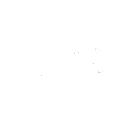 CCN(CC)C(=O)NC1(c2ccccc2)CCN(C(=O)OC(C)(C)C)CC1